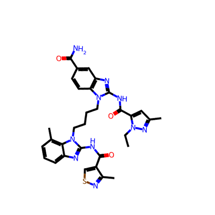 CCn1nc(C)cc1C(=O)Nc1nc2cc(C(N)=O)ccc2n1CCCCn1c(NC(=O)c2csnc2C)nc2cccc(C)c21